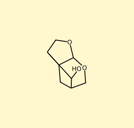 OC1C2COC3OCC1C3C2